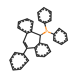 C1=C(c2ccccc2)c2ccccc2[C@H](P(c2ccccc2)c2ccccc2)c2ccccc21